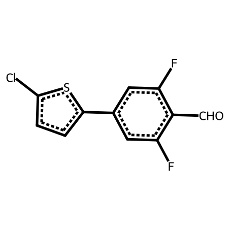 O=Cc1c(F)cc(-c2ccc(Cl)s2)cc1F